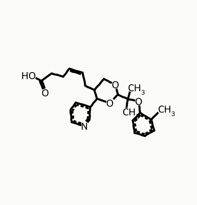 Cc1ccccc1OC(C)(C)C1OCC(C/C=C\CCC(=O)O)C(c2cccnc2)O1